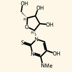 CNc1nc(=S)n([C@@H]2O[C@H](CO)C(O)C2O)cc1O